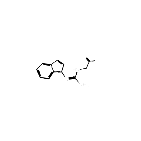 NC(=NC1C=Cc2ccccc21)NCC(=O)O